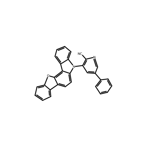 N#Cc1ncc(-c2ccccc2)cc1-n1c2ccccc2c2c3oc4ccccc4c3ccc21